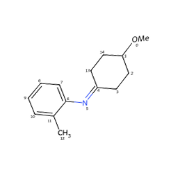 COC1CCC(=Nc2ccccc2C)CC1